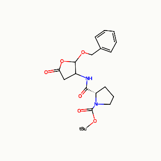 CC(C)(C)OC(=O)N1CCC[C@H]1C(=O)NC1CC(=O)OC1OCc1ccccc1